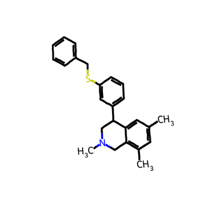 Cc1cc(C)c2c(c1)C(c1cccc(SCc3ccccc3)c1)CN(C)C2